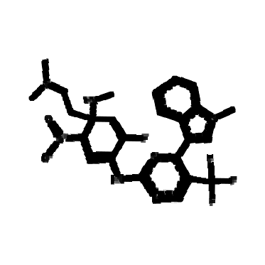 CNC1(CCN(C)C)C=C(F)C(Nc2ncc(C(F)(F)F)c(-c3cn(C)c4ccccc34)n2)=CC1[N+](=O)[O-]